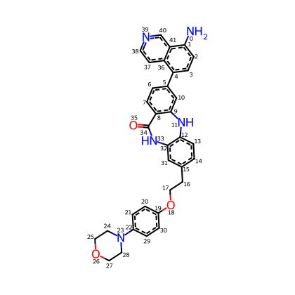 Nc1ccc(-c2ccc3c(c2)Nc2ccc(CCOc4ccc(N5CCOCC5)cc4)cc2NC3=O)c2ccncc12